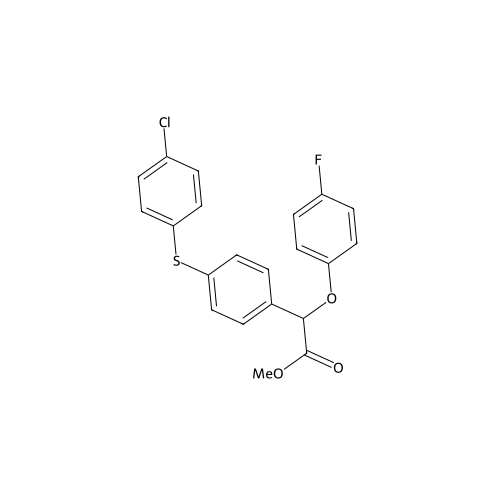 COC(=O)C(Oc1ccc(F)cc1)c1ccc(Sc2ccc(Cl)cc2)cc1